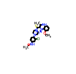 CONc1ccc(N2CCN(C(=S)/C(=C(\C)N)N(N)c3ccccc3OC)CC2)c(Cl)c1